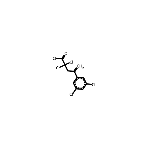 C=C(CC(Cl)(Cl)C(=O)Cl)c1cc(Cl)cc(Cl)c1